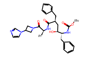 CC(C)[C@H](NC(=O)[C@@H](Cc1ccccc1)C[C@H](O)[C@@H](Cc1ccccc1)NC(=O)OC(C)(C)C)C(=O)N1CC(n2ccnc2)C1